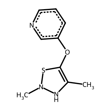 CC1=C(Oc2cccnc2)SN(C)N1